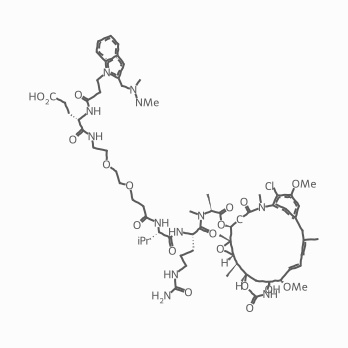 CNN(C)Cc1cc2ccccc2n1CCC(=O)N[C@@H](CCC(=O)O)C(=O)NCCOCCOCCC(=O)N[C@H](C(=O)N[C@@H](CCCNC(N)=O)C(=O)N(C)[C@@H](C)C(=O)O[C@H]1CC(=O)N(C)c2cc(cc(OC)c2Cl)C/C(C)=C/C=C/[C@@H](OC)[C@@]2(O)C[C@H](OC(=O)N2)[C@@H](C)[C@@H]2O[C@]12C)C(C)C